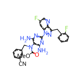 COC(=O)N(Cc1cccc(C#N)c1)c1c(N)nc(-n2nc(Cc3ccccc3F)c3ncc(F)cc32)nc1N